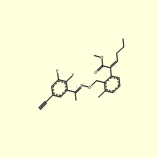 C#Cc1cc(F)c(F)c(/C(C)=N/OCc2c(C)cccc2/C(=C/CCC)C(=O)OC)c1